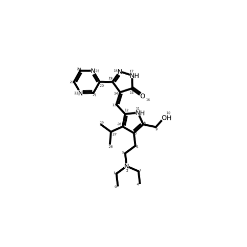 CCN(CC)CCc1c(CO)[nH]c(C=C2C(=O)NN=C2c2cnccn2)c1C(C)C